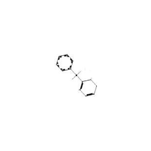 CC(C)(C1=CC=CC[CH]1)c1[c]cccc1